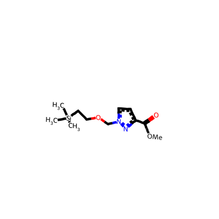 COC(=O)c1ccn(COCC[Si](C)(C)C)n1